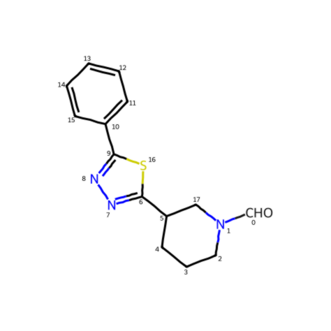 O=CN1CCCC(c2nnc(-c3ccccc3)s2)C1